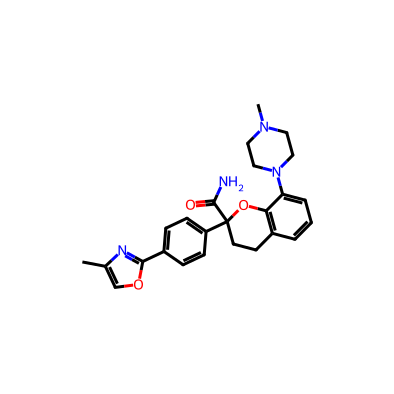 Cc1coc(-c2ccc(C3(C(N)=O)CCc4cccc(N5CCN(C)CC5)c4O3)cc2)n1